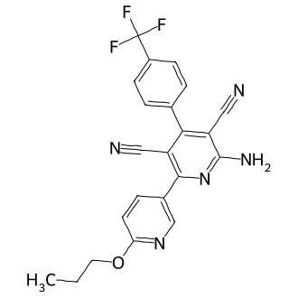 CCCOc1ccc(-c2nc(N)c(C#N)c(-c3ccc(C(F)(F)F)cc3)c2C#N)cn1